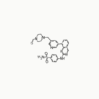 NS(=O)(=O)c1ccc(Nc2ncc3cccc(-c4cncc(CN5CCN(C=O)CC5)c4)c3n2)cc1